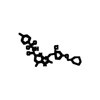 Cc1ccc(S(=O)(=O)NC(=O)c2cc(C)c3nc(C)n(Cc4ccc(OCC5CCCCC5)cc4Cl)c3n2)cc1